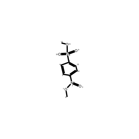 CO[N+](=O)c1ccc(S(=O)(=O)OC)cc1